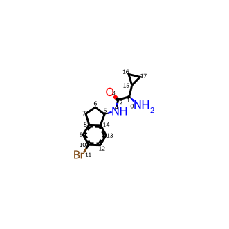 N[C@@H](C(=O)N[C@@H]1CCc2cc(Br)ccc21)C1CC1